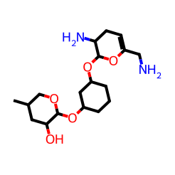 CC1COC(OC2CCCC(OC3OC(CN)=CCC3N)C2)C(O)C1